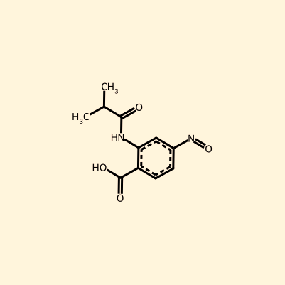 CC(C)C(=O)Nc1cc(N=O)ccc1C(=O)O